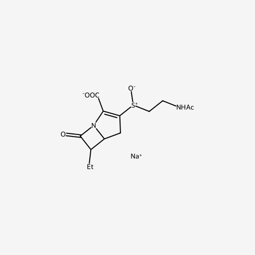 CCC1C(=O)N2C(C(=O)[O-])=C([S+]([O-])CCNC(C)=O)CC12.[Na+]